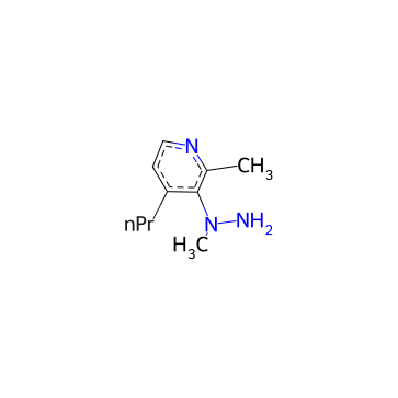 CCCc1ccnc(C)c1N(C)N